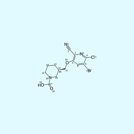 N#Cc1nc(Cl)c(Br)cc1OC[C@@H]1CCCN(C(=O)O)C1